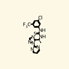 C[C@H](NC(=S)Nc1cc(Cl)cc(C(F)(F)F)c1)c1ncnn1-c1ncccn1